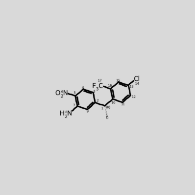 C[C@H](c1ccc([N+](=O)[O-])c(N)c1)c1ccc(Cl)cc1C(F)(F)F